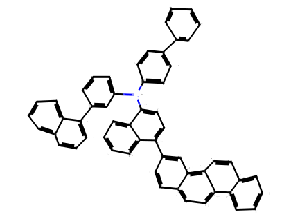 c1ccc(-c2ccc(N(c3cccc(-c4cccc5ccccc45)c3)c3ccc(-c4ccc5ccc6c7ccccc7ccc6c5c4)c4ccccc34)cc2)cc1